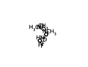 Cc1ccc(C(=O)Nc2cccc(C(F)(F)F)c2)cc1N1CCC(=O)/C(=C\N(C)C)C1